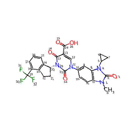 Cn1c(=O)n(C2CC2)c2cc(-n3cc(C(=O)O)c(=O)n([C@@H]4CCc5c4cccc5C(F)(F)F)c3=O)ccc21